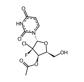 CC(=O)O[C@@H]1[C@H](CO)O[C@@H](n2ccc(=O)[nH]c2=O)[C@@]1(F)Cl